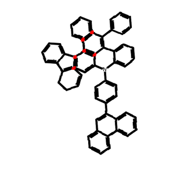 C1=Cc2c(c3ccccc3n2-c2ccc(-c3ccccc3)c(-c3ccccc3N(c3ccc(-c4cc5ccccc5c5ccccc45)cc3)c3cccc(-c4ccccc4)c3)c2)CC1